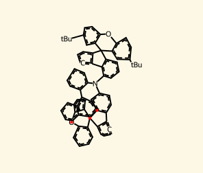 CC(C)(C)c1ccc2c(c1)C1(c3cc(C(C)(C)C)ccc3O2)c2ccccc2-c2c(N(c3ccc4c(c3)C3(c5ccccc5Oc5ccccc53)c3ccccc3-4)c3ccccc3-c3cccc4ccccc34)cccc21